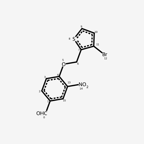 O=Cc1ccc(OCc2sccc2Br)c([N+](=O)[O-])c1